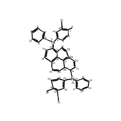 Cc1ccc(N(c2ccccc2)c2ccc3c4c5c(ccc24)C=CC(N(c2ccccc2)c2ccc(C)c(C)c2)C5C=C3)cc1C